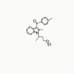 CCOCCC(C)n1c(C)c(C(=O)c2ccc(C)cc2)c2ccccc21